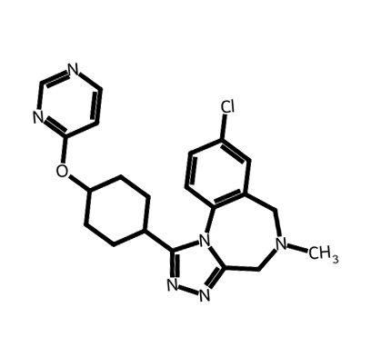 CN1Cc2cc(Cl)ccc2-n2c(nnc2C2CCC(Oc3ccncn3)CC2)C1